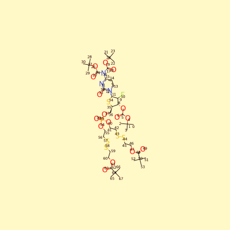 CC(C)(C)OC(=O)O[C@H]1[C@H](F)[C@H](n2ccc(N(C(=O)OC(C)(C)C)C(=O)OC(C)(C)C)nc2=O)S[C@@H]1COP(=O)(OCCSSCCOC(=O)C(C)(C)C)OCCSSCCOC(=O)C(C)(C)C